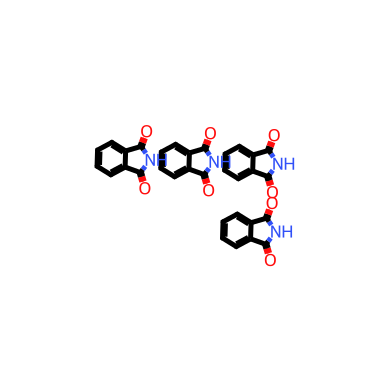 O=C1NC(=O)c2ccccc21.O=C1NC(=O)c2ccccc21.O=C1NC(=O)c2ccccc21.O=C1NC(=O)c2ccccc21